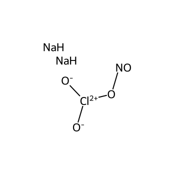 O=NO[Cl+2]([O-])[O-].[NaH].[NaH]